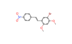 COc1cc(OC)c(/C=C/c2ccc([N+](=O)[O-])cc2)cc1Br